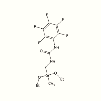 CCO[Si](C)(CNC(=O)Nc1c(F)c(F)c(F)c(F)c1F)OCC